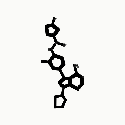 Nc1ncnc2c1c(-c1ccc(N[S+]([O-])c3ccc(Br)s3)c(F)c1)cn2C1CCCC1